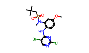 COc1ccc(Nc2nc(Cl)ncc2Br)c(N(C)S(=O)(=O)CC(C)(C)C)c1